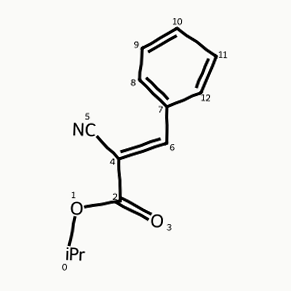 CC(C)OC(=O)/C(C#N)=C/c1ccccc1